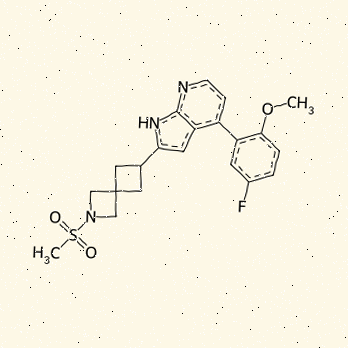 COc1ccc(F)cc1-c1ccnc2[nH]c(C3CC4(C3)CN(S(C)(=O)=O)C4)cc12